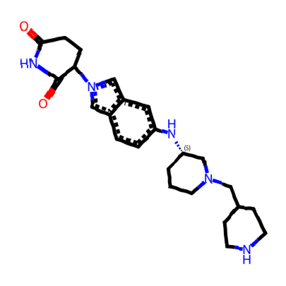 O=C1CCC(n2cc3ccc(N[C@H]4CCCN(CC5CCNCC5)C4)cc3c2)C(=O)N1